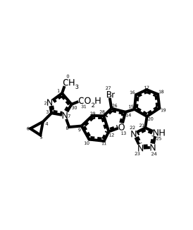 Cc1nc(C2CC2)n(Cc2ccc3oc(-c4ccccc4-c4nnn[nH]4)c(Br)c3c2)c1C(=O)O